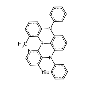 Cc1cccc2c1B1c3nccc(C(C)(C)C)c3N(c3ccccc3)c3cccc(c31)N2c1ccccc1